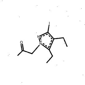 CCc1c(I)nn(CC(C)=O)c1CC